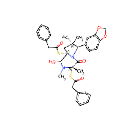 CN1C(O)[C@@]2(SC(=O)Cc3ccccc3)C[C@](C)(C#N)C(c3ccc4c(c3)OCO4)N2C(=O)[C@]1(C)SC(=O)Cc1ccccc1